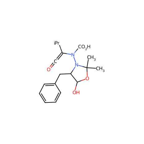 CC(C)C(=C=O)N(C(=O)O)N1C(Cc2ccccc2)C(O)OC1(C)C